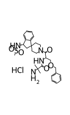 CC(C)(N)C(=O)NC(COCc1ccccc1)C(=O)N1CCC2(CC1)C[C@@H](NS(C)(=O)=O)c1ccccc12.Cl